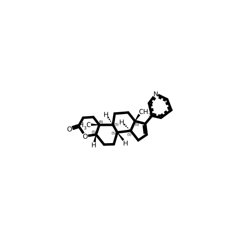 C[C@]12CCC(=O)O[C@H]1CC[C@@H]1[C@@H]2CC[C@]2(C)C(c3cccnc3)=CC[C@@H]12